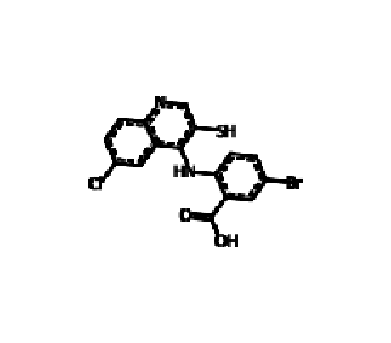 O=C(O)c1cc(Br)ccc1Nc1c(S)cnc2ccc(Cl)cc12